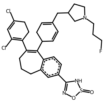 O=S1NC(c2ccc3c(c2)CCCC(C2=C(Cl)C=C(Cl)CC2)=C3C2C=CC(CC3CCN(CCCF)C3)=CC2)=NO1